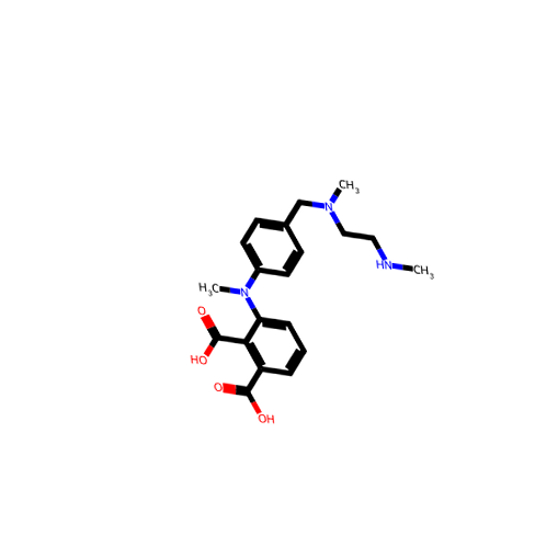 CNCCN(C)Cc1ccc(N(C)c2cccc(C(=O)O)c2C(=O)O)cc1